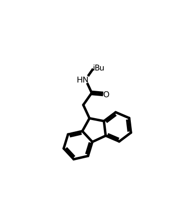 CCC(C)NC(=O)CC1c2ccccc2-c2ccccc21